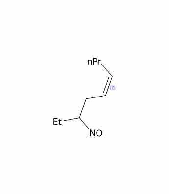 CCC/C=C\CC(CC)N=O